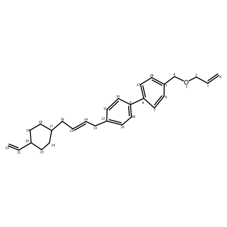 C=CCOCc1ccc(-c2ccc(CC=CCC3CCC(C=C)CC3)cc2)cc1